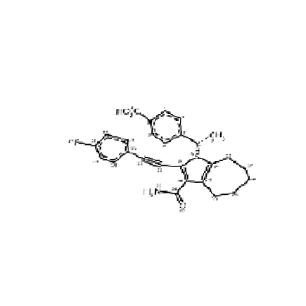 C[C@@H](c1ccc(C(=O)O)cc1)[SH]1C(C#Cc2ccc(F)cc2)=C(C(N)=O)C2=C1CCCCC2